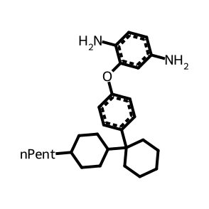 CCCCCC1CCC(C2(c3ccc(Oc4cc(N)ccc4N)cc3)CCCCC2)CC1